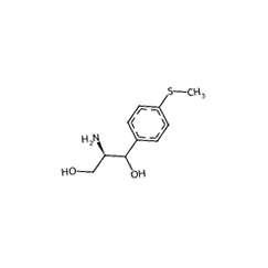 CSc1ccc(C(O)[C@H](N)CO)cc1